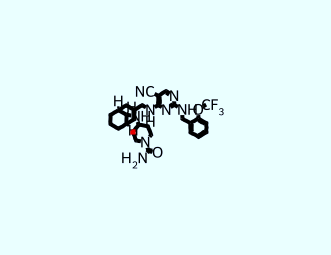 N#Cc1cnc(NCc2ccccc2OC(F)(F)F)nc1NCC1C[C@H]2CCC[C@@H](C1)[C@@H]2NC1CCN(C(N)=O)CC1